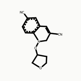 N#CC1=Cc2cc(C#N)ccc2N(OC2CCOC2)C1